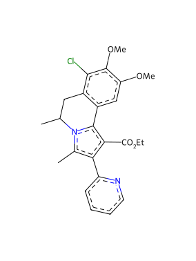 CCOC(=O)c1c(-c2ccccn2)c(C)n2c1-c1cc(OC)c(OC)c(Cl)c1CC2C